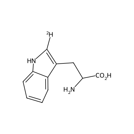 [2H]c1[nH]c2ccccc2c1CC(N)C(=O)O